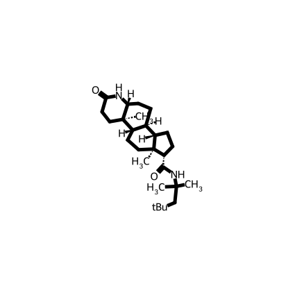 CC(C)(C)CC(C)(C)NC(=O)[C@H]1CC[C@H]2[C@@H]3CC[C@H]4NC(=O)CC[C@]4(C)[C@H]3CC[C@]12C